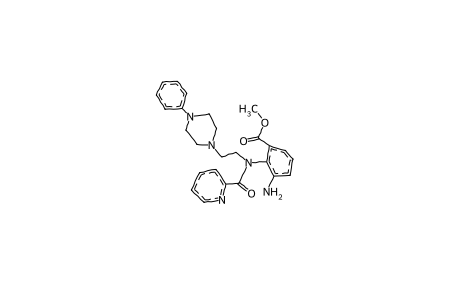 COC(=O)c1cccc(N)c1N(CCN1CCN(c2ccccc2)CC1)C(=O)c1ccccn1